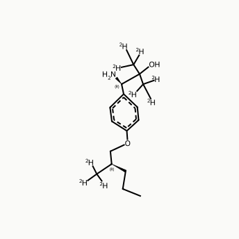 [2H]C([2H])([2H])[C@H](CCC)COc1ccc([C@@H](N)C(O)(C([2H])([2H])[2H])C([2H])([2H])[2H])cc1